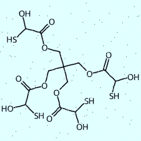 O=C(OCC(COC(=O)C(O)S)(COC(=O)C(O)S)COC(=O)C(O)S)C(O)S